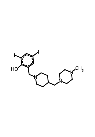 CN1CCN(CC2CCN(Cc3cc(I)cc(I)c3O)CC2)CC1